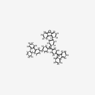 c1ccc(-c2ccc(-c3ccc(N(c4ccc(-c5cccc6oc7ccccc7c56)cc4)c4ccc(-n5c6ccccc6c6ccccc65)cc4)cc3)cc2-c2ccccc2)cc1